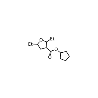 CCC1CC(C(=O)OC2CCCC2)C(CC)O1